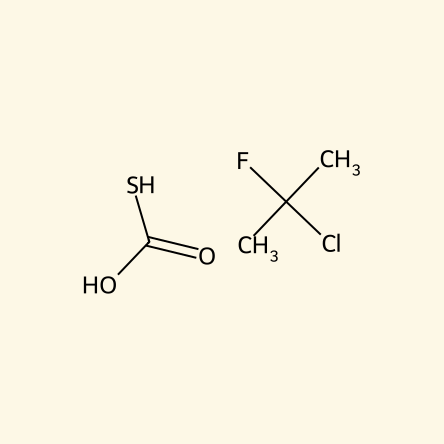 CC(C)(F)Cl.O=C(O)S